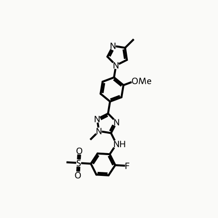 COc1cc(-c2nc(Nc3cc(S(C)(=O)=O)ccc3F)n(C)n2)ccc1-n1cnc(C)c1